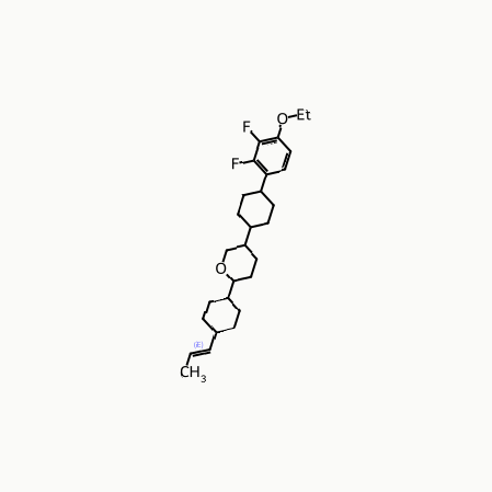 C/C=C/C1CCC(C2CCC(C3CCC(c4ccc(OCC)c(F)c4F)CC3)CO2)CC1